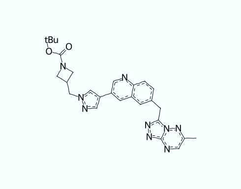 Cc1cnc2nnc(Cc3ccc4ncc(-c5cnn(CC6CN(C(=O)OC(C)(C)C)C6)c5)cc4c3)n2n1